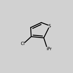 CC(C)c1sccc1Cl